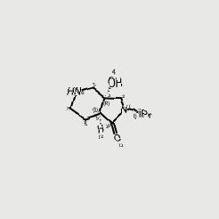 CC(C)N1C[C@]2(O)CNCC[C@@H]2C1=O